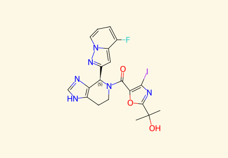 CC(C)(O)c1nc(I)c(C(=O)N2CCc3[nH]cnc3[C@H]2c2cc3c(F)cccn3n2)o1